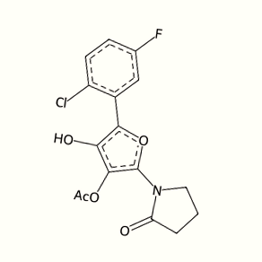 CC(=O)Oc1c(N2CCCC2=O)oc(-c2cc(F)ccc2Cl)c1O